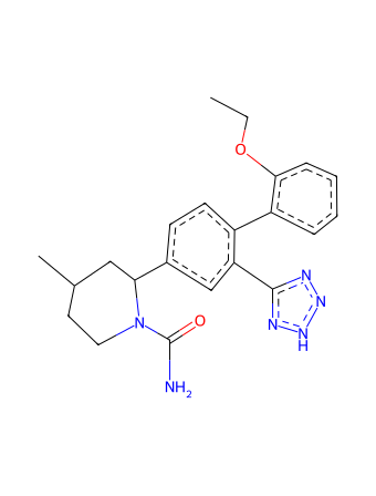 CCOc1ccccc1-c1ccc(C2CC(C)CCN2C(N)=O)cc1-c1nn[nH]n1